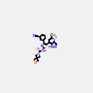 Cc1cc(-c2sc(NC(=O)N3CC4(COC4)C3)nc2-c2cccc(C#N)c2)c2[nH]ncc2n1